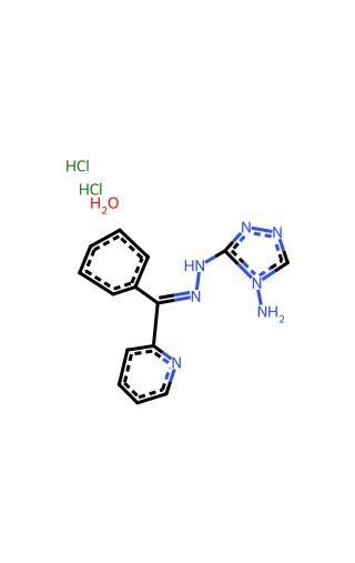 Cl.Cl.Nn1cnnc1N/N=C(\c1ccccc1)c1ccccn1.O